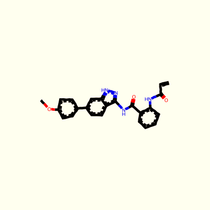 C=CC(=O)Nc1ccccc1C(=O)Nc1n[nH]c2cc(-c3ccc(OC)cc3)ccc12